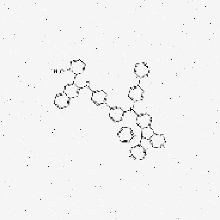 CC1C=CC=CC1c1cc2ccccc2cc1Nc1ccc(-c2cccc(N(c3ccc(-c4ccccc4)cc3)c3ccc4c(c3)C(c3ccccc3)(c3ccccc3)c3ccccc3-4)c2)cc1